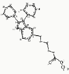 COC(=O)CCCCCc1ccc2nc(-c3ccccc3)n(-c3ccccc3)c2c1